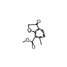 COC(=O)c1c(C)ccc2c1OCC2=O